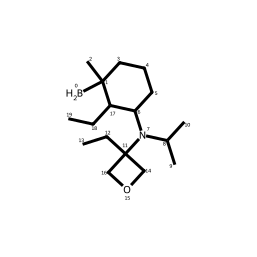 BC1(C)CCCC(N(C(C)C)C2(CC)COC2)C1CC